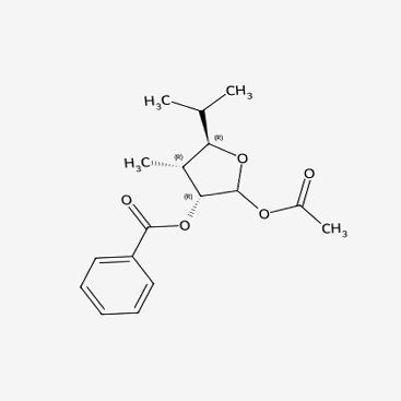 CC(=O)OC1O[C@H](C(C)C)[C@@H](C)[C@H]1OC(=O)c1ccccc1